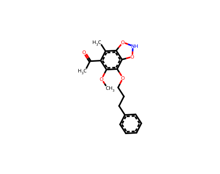 COc1c(OCCCc2ccccc2)c2c(c(C)c1C(C)=O)ONO2